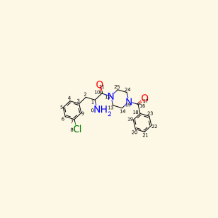 NC(Cc1cccc(Cl)c1)C(=O)N1CCN(C(=O)c2ccccc2)CC1